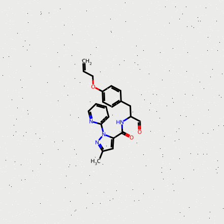 C=CCOc1ccc(CC(C=O)NC(=O)c2cc(C)nn2-c2ccccn2)cc1